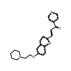 O=C(/C=C/c1ccc2cc(OCCN3CCCCC3)ccc2n1)c1ccncc1